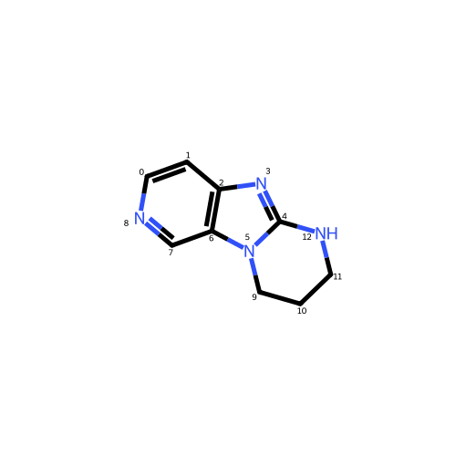 c1cc2nc3n(c2cn1)CCCN3